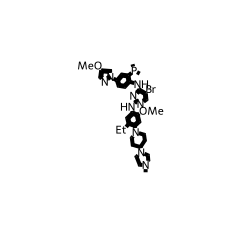 CCc1cc(Nc2ncc(Br)c(Nc3ccc(-n4cc(OC)cn4)cc3P(C)C)n2)c(OC)cc1N1CCC(N2CCN(C)CC2)CC1